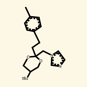 Cc1ccc(CCC2(Cn3ccnc3)OCC(C(C)(C)C)CO2)cc1